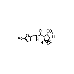 CC(=O)c1ccc(CNC(=O)[C@H]2[C@H](C(=O)O)[C@H]3C=C[C@@H]2C32CC2)o1